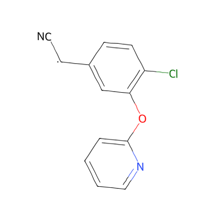 N#C[CH]c1ccc(Cl)c(Oc2ccccn2)c1